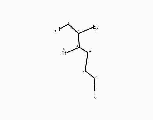 CCC(CI)C(CC)CCCI